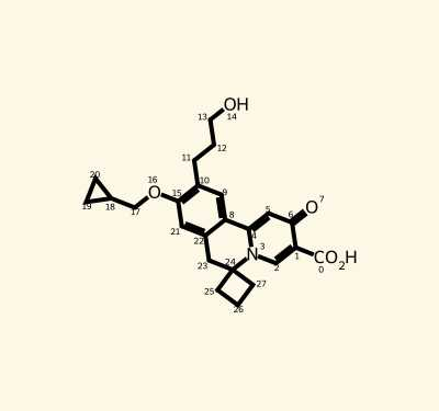 O=C(O)c1cn2c(cc1=O)-c1cc(CCCO)c(OCC3CC3)cc1CC21CCC1